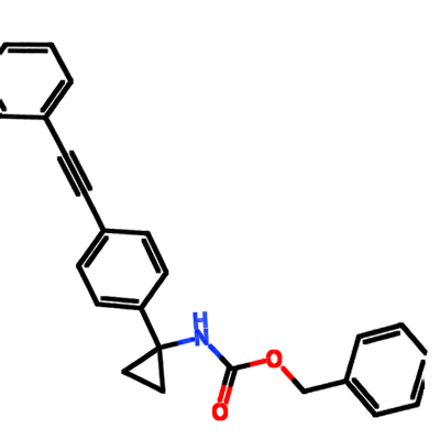 O=C(NC1(c2ccc(C#Cc3ccccc3)cc2)CC1)OCc1ccccc1